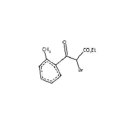 CCOC(=O)C(Br)C(=O)c1ccccc1C